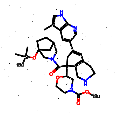 Cc1c[nH]c2ncc(C3=CC4=C(CNCC4)C(C(=O)N4CC5CCC(O[Si](C)(C)C(C)(C)C)(C5)C4)(C4CN(C(=O)OC(C)(C)C)CCO4)C3)cc12